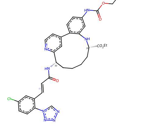 CCOC(=O)[C@@H]1CCCC[C@H](NC(=O)/C=C/c2cc(Cl)ccc2-n2cnnn2)c2cc(ccn2)-c2ccc(NC(=O)OCCOC)cc2N1